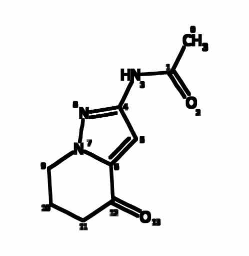 CC(=O)Nc1cc2n(n1)CCCC2=O